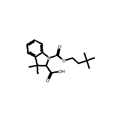 CC(C)(C)CCOC(=O)N1c2ccccc2C(C)(C)C1C(=O)O